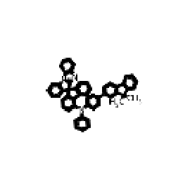 CC1(C)c2ccccc2-c2ccc(-c3ccc(N(c4ccccc4)c4cccc5c4-c4ccccc4C54c5ccccc5-n5c4nc4ccccc45)cc3)cc21